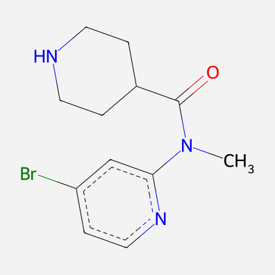 CN(C(=O)C1CCNCC1)c1cc(Br)ccn1